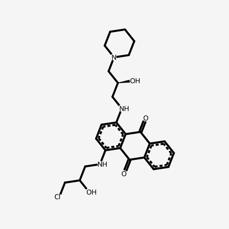 O=C1c2ccccc2C(=O)c2c(NC[C@H](O)CN3CCCCC3)ccc(NCC(O)CCl)c21